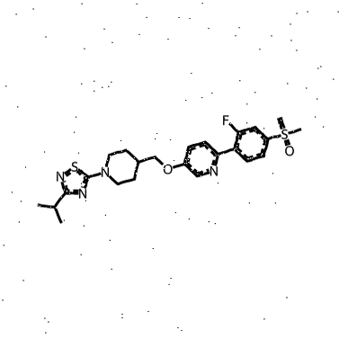 C=S(C)(=O)c1ccc(-c2ccc(OCC3CCN(c4nc(C(C)C)ns4)CC3)cn2)c(F)c1